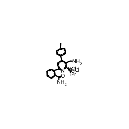 Cc1ccc(-c2cc(-c3ccccc3C(N)=O)nc(CC(C)C)c2CN)cc1.Cl.Cl